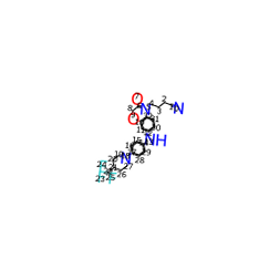 N#CCCCN1C(=O)COc2cc(Nc3ccc(N4CCC(C(F)(F)F)CC4)cc3)ccc21